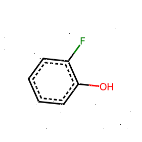 Oc1ccc[c]c1F